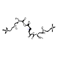 CC(C)N(CC[PH](=O)CC[N+](C)(C)C)C(=O)OC(=O)/C=C/C(=O)OC(=O)N(CC[PH](=O)CC[N+](C)(C)C)C(C)C